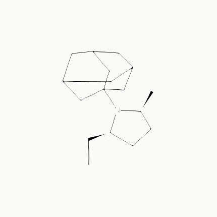 CC[C@@H]1CC[C@H](C)N1C12CC3CC(CC(C3)C1)C2